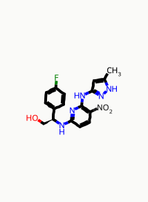 Cc1cc(Nc2nc(N[C@@H](CO)c3ccc(F)cc3)ccc2[N+](=O)[O-])n[nH]1